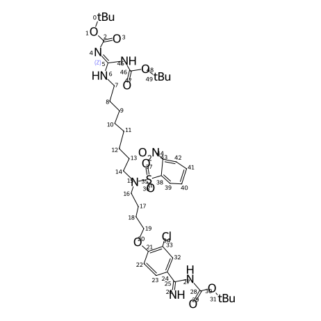 CC(C)(C)OC(=O)/N=C(/NCCCCCCCCN(CCCCOc1ccc(C(=N)NC(=O)OC(C)(C)C)cc1Cl)S(=O)(=O)c1ccccc1[N+](=O)[O-])NC(=O)OC(C)(C)C